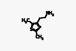 Cc1pc(CCN)c(C)s1